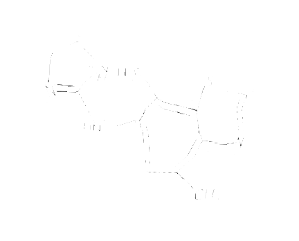 Cc1cc(NC2=NCCN2)c(C)c2scnc12